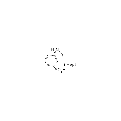 CCCCCCCCCN.O=S(=O)(O)c1ccccc1